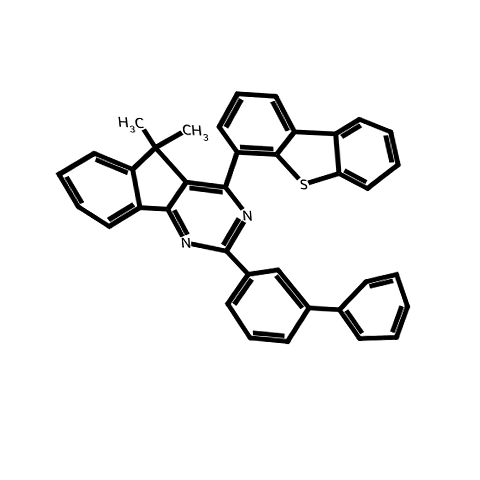 CC1(C)c2ccccc2-c2nc(-c3cccc(-c4ccccc4)c3)nc(-c3cccc4c3sc3ccccc34)c21